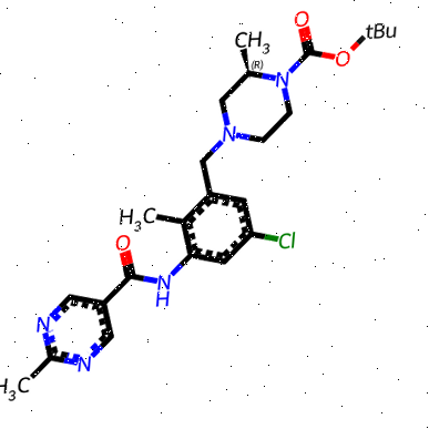 Cc1ncc(C(=O)Nc2cc(Cl)cc(CN3CCN(C(=O)OC(C)(C)C)[C@H](C)C3)c2C)cn1